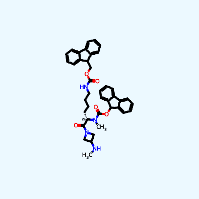 CNC1CN(C(=O)[C@H](CCCCNC(=O)OCC2c3ccccc3-c3ccccc32)N(C)C(=O)OC2c3ccccc3-c3ccccc32)C1